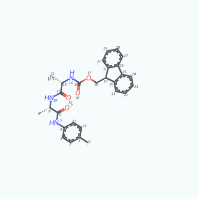 [CH2]c1ccc(NC(=O)[C@H](C)NC(=O)[C@@H](NC(=O)OCC2c3ccccc3-c3ccccc32)C(C)C)cc1